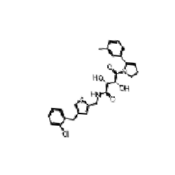 Cc1cccc([C@H]2CCCN2C(=O)[C@H](O)[C@@H](O)C(=O)NCc2cc(Cc3ccccc3Cl)cs2)c1